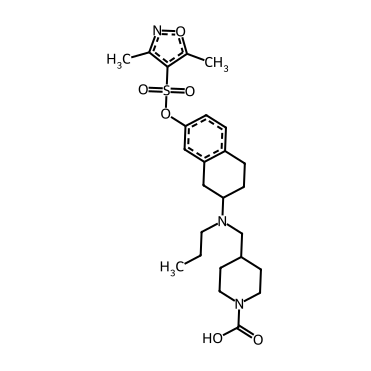 CCCN(CC1CCN(C(=O)O)CC1)C1CCc2ccc(OS(=O)(=O)c3c(C)noc3C)cc2C1